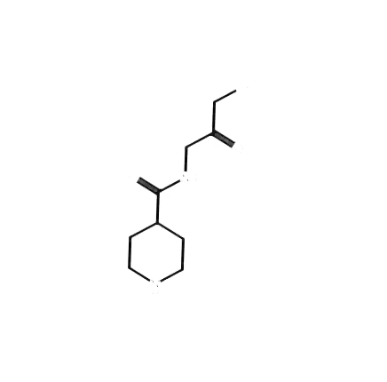 CCC(=O)CNC(=O)C1CCNCC1